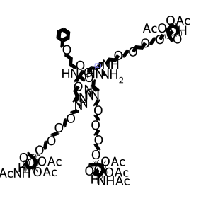 CC(=O)N[C@H]1[C@@H]2OC[C@](COCCOCCOCCOCCn3cc(COCC(COC/C(=C/NCCOCCOCCOCCOC[C@]45CO[C@H](C[C@@H](OC(C)=O)[C@H]4OC(C)=O)O5)NN)(COCc4cn(CCOCCOCCOCCOC[C@@]56CO[C@H](O5)[C@H](NC(C)=O)[C@@H](OC(C)=O)[C@H]6OC(C)=O)nn4)NC(=O)CCCOCc4ccccc4)nn3)(O2)[C@H](OC(C)=O)[C@@H]1OC(C)=O